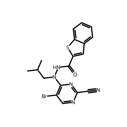 CC(C)CN(NC(=O)c1cc2ccccc2s1)c1nc(C#N)ncc1Br